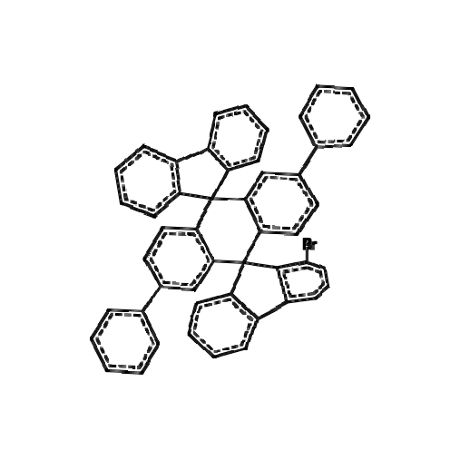 Brc1cccc2c1C1(c3ccccc3-2)c2ccc(-c3ccccc3)cc2C2(c3ccccc3-c3ccccc32)c2ccc(-c3ccccc3)cc21